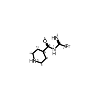 CC(C)C(=N)NC(=O)C1CCNCC1